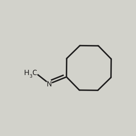 CN=C1CCCCCCC1